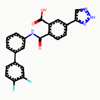 O=C(O)c1cc(-c2cn[nH]n2)ccc1C(=O)Nc1cccc(-c2ccc(F)c(F)c2)c1